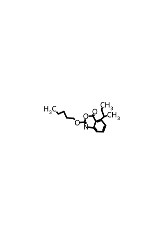 CCCCCOc1nc2cccc(C(C)CC)c2c(=O)o1